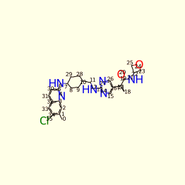 Cc1cc2nc(NC3CCC(CNc4ncc([C@H](C)C(=O)NC5COC5)cn4)CC3)ccc2cc1Cl